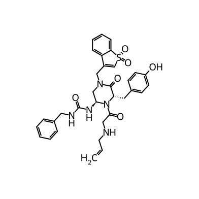 C=CCNCC(=O)N1[C@@H](NC(=O)NCc2ccccc2)CN(CC2=CS(=O)(=O)c3ccccc32)C(=O)[C@@H]1Cc1ccc(O)cc1